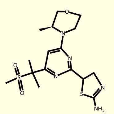 C[C@H]1COCCN1c1cc(C(C)(C)S(C)(=O)=O)nc(C2CN=C(N)S2)n1